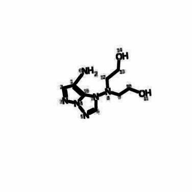 Nc1cnn2ncn(N(CCO)CCO)c12